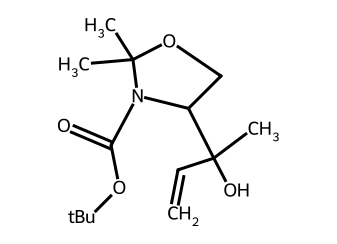 C=CC(C)(O)C1COC(C)(C)N1C(=O)OC(C)(C)C